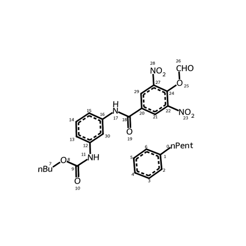 CCCCCc1ccccc1.CCCCOC(=O)Nc1cccc(NC(=O)c2cc([N+](=O)[O-])c(OC=O)c([N+](=O)[O-])c2)c1